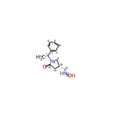 C[C@H](c1ccccc1)N1C[C@H](CNO)CC1=O